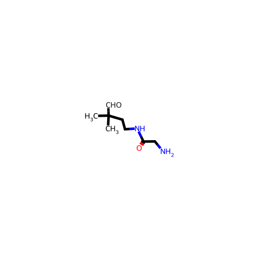 CC(C)(C=O)CCNC(=O)CN